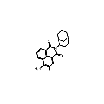 Nc1c(I)cc2c3c(cccc13)C(=O)N(C1CCN3CCCC1C3)C2=O